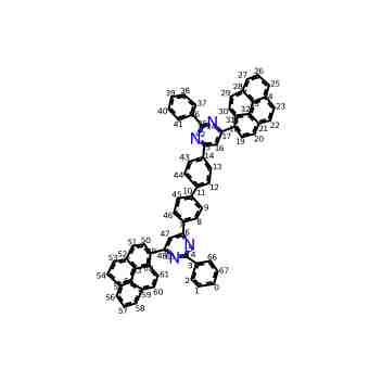 c1ccc(-c2nc(-c3ccc(-c4ccc(-c5cc(-c6ccc7ccc8cccc9ccc6c7c89)nc(-c6ccccc6)n5)cc4)cc3)cc(-c3ccc4ccc5cccc6ccc3c4c56)n2)cc1